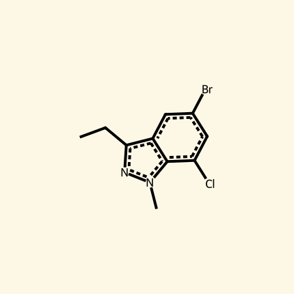 CCc1nn(C)c2c(Cl)cc(Br)cc12